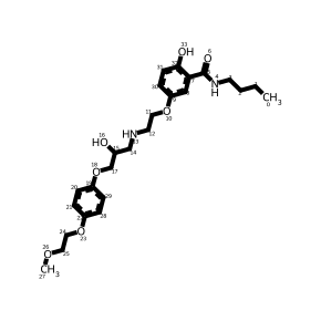 CCCCNC(=O)c1cc(OCCNCC(O)COc2ccc(OCCOC)cc2)ccc1O